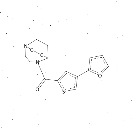 O=C(c1cc(-c2ccco2)cs1)N1CCN2CCC1CC2